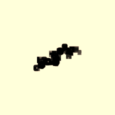 N[C@]12C[C@H]1CN(C(=O)c1ccc(Nc3nc4c(N5CCC(O)(c6ccc(Cl)cc6)CC5)cccn4n3)cc1)C2